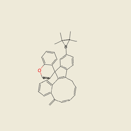 C=C1/C=C\C=C/CC2=C(c3ccccc31)C1(c3ccccc3Oc3ccccc31)c1cc(B3C(C)(C)C3(C)C)ccc12